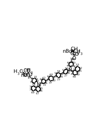 CCCCC(C)(C)OC(=O)OCc1ccc(N(c2ccc(-c3ccc(-c4ccc(-c5ccc(N(c6ccc(COC(=O)OC(C)(C)CCCC)cc6)c6cccc7ccccc67)cc5)cc4)cc3)cc2)c2cccc3ccccc23)cc1